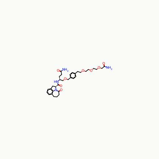 NC(=O)CC[C@@H](COCc1ccc(CCOCCOCCOCC(N)=O)cc1)NC(=O)[C@@H]1Cc2cccc3c2N1C(=O)CCC3